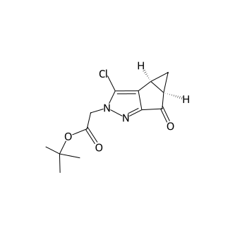 CC(C)(C)OC(=O)Cn1nc2c(c1Cl)[C@H]1C[C@H]1C2=O